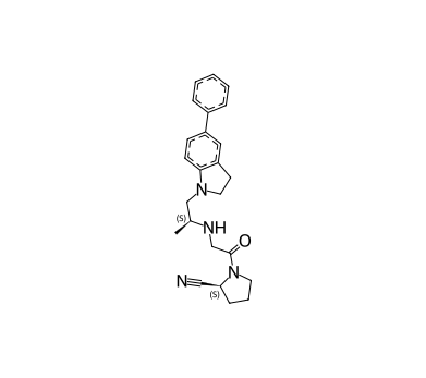 C[C@@H](CN1CCc2cc(-c3ccccc3)ccc21)NCC(=O)N1CCC[C@H]1C#N